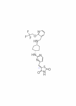 O=C1NC(=O)/C(=C/c2ccnc(N[C@H]3CC[C@H](NCc4cccnc4OCC(F)(F)F)CC3)n2)S1